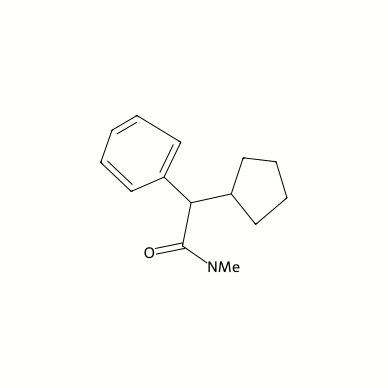 CNC(=O)C(c1ccccc1)C1CCCC1